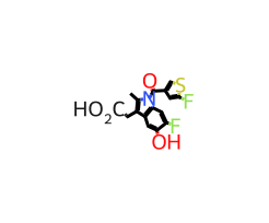 Cc1c(CC(=O)O)c2cc(O)c(F)cc2n1C(=O)c1csc(F)c1